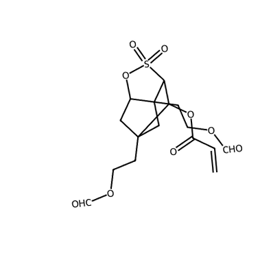 C=CC(=O)OC1C2C3(CCOC=O)CC1(CCOC=O)CC3OS2(=O)=O